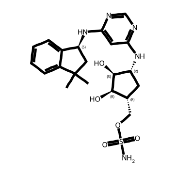 CC1(C)C[C@H](Nc2cc(N[C@@H]3C[C@H](COS(N)(=O)=O)[C@@H](O)[C@H]3O)ncn2)c2ccccc21